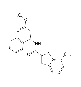 COC(=O)CC(NC(=O)c1cc2cccc(C)c2[nH]1)c1ccccc1